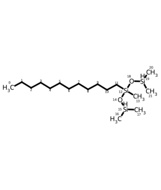 CCCCCCCCCCCC[Si](C)(O[SiH](C)C)O[SiH](C)C